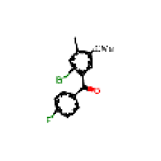 COc1cc(C(=O)c2ccc(F)cc2)c(Br)cc1C